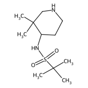 CC1(C)CNCCC1NS(=O)(=O)C(C)(C)C